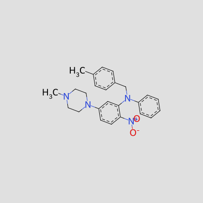 Cc1ccc(CN(c2ccccc2)c2cc(N3CCN(C)CC3)ccc2[N+](=O)[O-])cc1